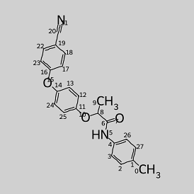 Cc1ccc(NC(=O)C(C)Oc2ccc(Oc3ccc(C#N)cc3)cc2)cc1